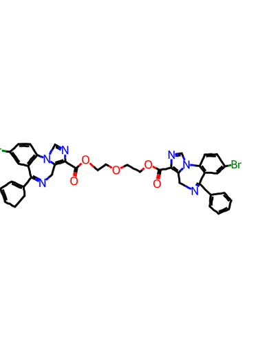 O=C(OCCOCCOC(=O)c1ncn2c1CN=C(c1ccccc1)c1cc(Br)ccc1-2)c1ncn2c1CN=C(C1=CC=CCC1)c1cc(Br)ccc1-2